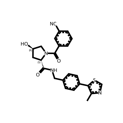 Cc1ncsc1-c1ccc(CNC(=O)[C@@H]2C[C@@H](O)CN2C(=O)c2cccc(C#N)c2)cc1